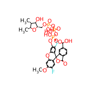 COc1cc2c(cc1F)C1(OC(=O)c3ccc(C(=O)O)cc31)c1cc(F)c(OP(=O)(O)OP(=O)(O)OP(=O)(O)OC[C@H]3O[C@@H](C)[C@@H](C)C3O)cc1O2